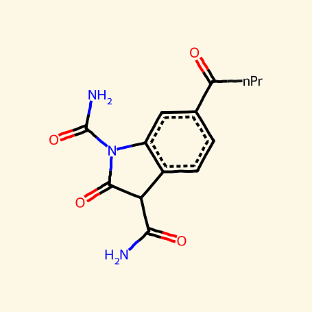 CCCC(=O)c1ccc2c(c1)N(C(N)=O)C(=O)C2C(N)=O